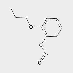 CCCOc1ccccc1O[C]=O